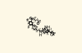 CN(CC[S@@+](C)[O-])C(=O)c1cc(N2CCN(CCNc3nc(N)n4nc(-c5ccco5)cc4n3)CC2)c(F)cc1F